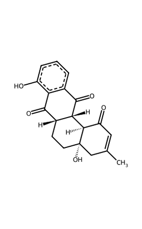 CC1=CC(=O)[C@@H]2[C@H]3C(=O)c4cccc(O)c4C(=O)[C@H]3CC[C@]2(O)C1